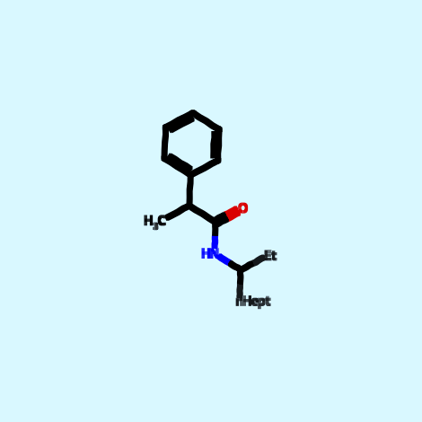 CCCCCCCC(CC)NC(=O)C(C)c1ccccc1